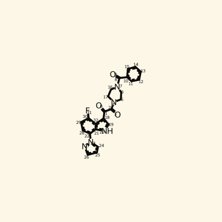 O=C(C(=O)N1CCN(C(=O)c2ccccc2)CC1)c1c[nH]c2c(-n3cccn3)ccc(F)c12